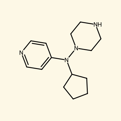 c1cc(N(C2CCCC2)N2CCNCC2)ccn1